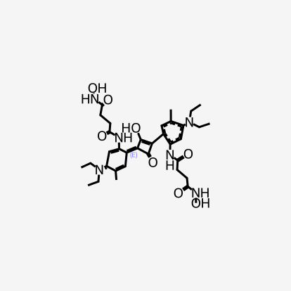 CCN(CC)c1cc(NC(=O)CCC(=O)NO)c(C2=C(O)/C(=C3/C=C(C)C(=[N+](CC)CC)C=C3NC(=O)CCC(=O)NO)C2=O)cc1C